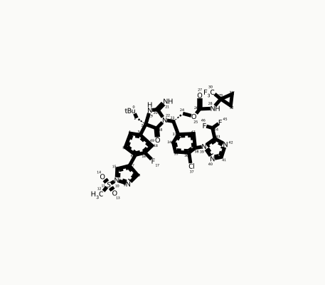 CC(C)(C)C[C@]1(c2ccc(-c3cnn(S(C)(=O)=O)c3)c(F)c2)NC(=N)N([C@H](COC(=O)NC2(C(F)(F)F)CC2)c2ccc(Cl)c(-n3ncnc3C(F)F)c2)C1=O